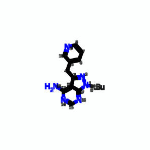 CC(C)(C)n1nc(Cc2cccnc2)c2c(N)ncnc21